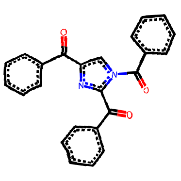 O=C(c1ccccc1)c1cn(C(=O)c2ccccc2)c(C(=O)c2ccccc2)n1